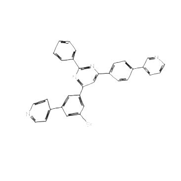 Brc1cc(-c2ccncc2)cc(-c2cc(-c3ccc(-c4cccnc4)cc3)nc(-c3ccccc3)n2)c1